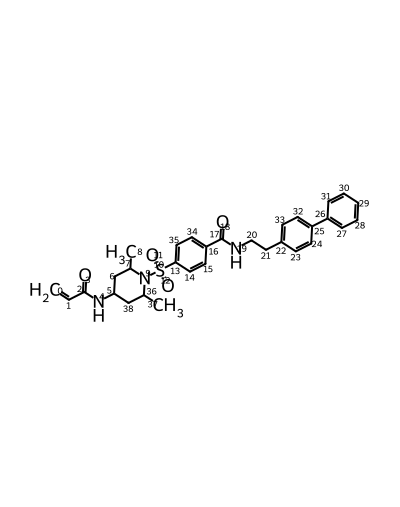 C=CC(=O)NC1CC(C)N(S(=O)(=O)c2ccc(C(=O)NCCc3ccc(-c4ccccc4)cc3)cc2)C(C)C1